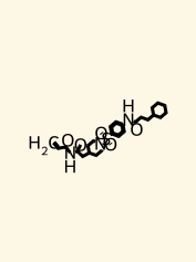 C=CC(=O)NC1CC2CCN(S(=O)(=O)c3ccc(NC(=O)CCC4CCCCC4)cc3)CC2O1